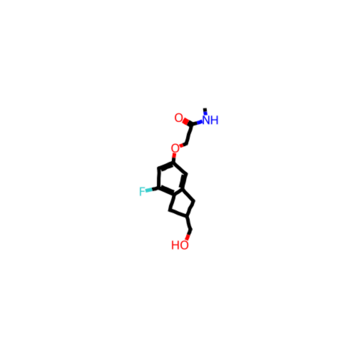 CNC(=O)COc1cc(F)c2c(c1)CC(CO)C2